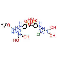 COCCNc1nc(Nc2ccc(/C=C/c3ccc(Nc4nc(Cl)nc(N(CCO)CCO)n4)cc3S(=O)(=O)O)c(S(=O)(=O)O)c2)nc(N(CCO)CCO)n1